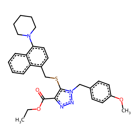 CCOC(=O)c1nnn(Cc2ccc(OC)cc2)c1SCc1ccc(N2CCCCC2)c2ccccc12